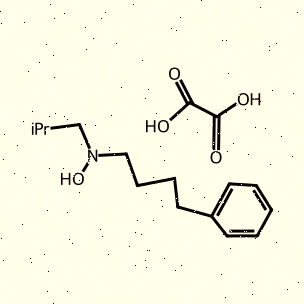 CC(C)CN(O)CCCCc1ccccc1.O=C(O)C(=O)O